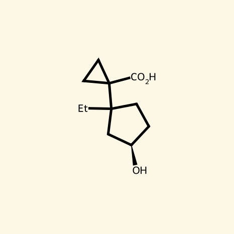 CCC1(C2(C(=O)O)CC2)CC[C@@H](O)C1